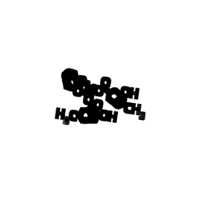 CC1C=C2CC(O)CC(C(=O)OCC3(COC(=O)C4CC5CC(C)CC(O)(C5)C4)COC4(OC3)C3CC5CC(C3)CC4C5)(C2)C1